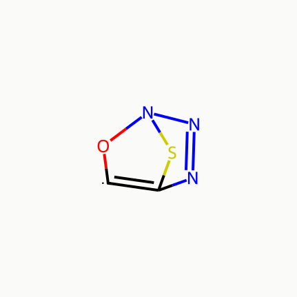 [C]1=C2N=NN(O1)S2